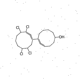 OC1CCC=C=C(C2=C=C(Cl)C(Cl)CCCC(Cl)C(Cl)C2)CCCC1